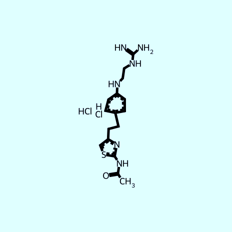 CC(=O)Nc1nc(CCc2ccc(NCCNC(=N)N)cc2)cs1.Cl.Cl